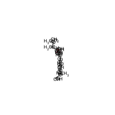 C=C1C(CC)O[C@@H](CC[C@@H]2OC(CC[C@@]34O[C@@H]5[C@@H]6OC(O)([C@H](O3)[C@@H]6O[C@H]3CCC(CC(=O)O[C@H]6CO[C@H]7C[C@H]8OC(C[C@@H]9O[C@@]%10(CC[C@@H]9O)C[C@H](C)[C@@H]9OC(CC[C@@H](O)CO)C[C@@H]9O%10)CC8OC7C6)O[C@H]53)[C@H]4O)CC2=C)C[C@H]1C